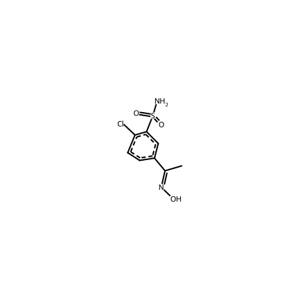 C/C(=N\O)c1ccc(Cl)c(S(N)(=O)=O)c1